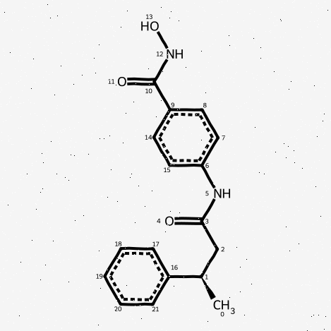 C[C@H](CC(=O)Nc1ccc(C(=O)NO)cc1)c1ccccc1